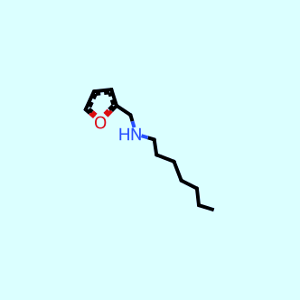 CCCCCCCNCc1ccco1